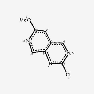 COc1cc2cnc(Cl)nc2cn1